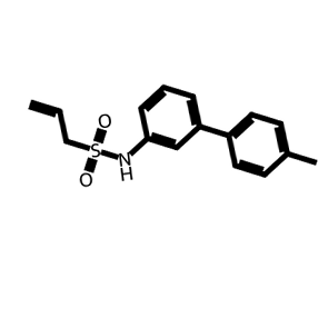 [CH2]c1ccc(-c2cccc(NS(=O)(=O)CC=C)c2)cc1